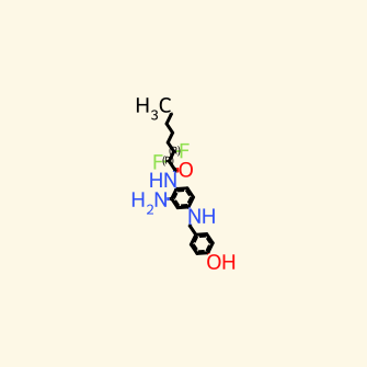 CCCCC[C@@H](F)[C@H](F)C(=O)Nc1ccc(NCc2ccc(O)cc2)cc1N